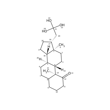 C[C@]12CC[C@H]3[C@@H](CCC4CCCC(=O)[C@@]43C)[C@@H]1CC[C@@H]2CC(O)(O)O